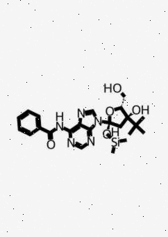 C[SiH](C)O[C@]1(n2cnc3c(NC(=O)c4ccccc4)ncnc32)C[C@@](O)(C(C)(C)C)[C@@H](CO)O1